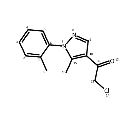 Cc1ccccc1-n1ncc(C(=O)CCl)c1C